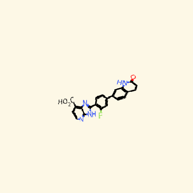 O=C1CCc2ccc(-c3ccc(-c4nc5c(C(=O)O)ccnc5[nH]4)c(F)c3)cc2N1